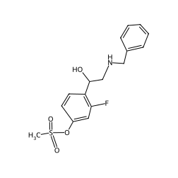 CS(=O)(=O)Oc1ccc(C(O)CNCc2ccccc2)c(F)c1